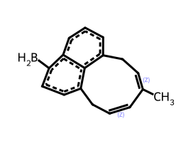 Bc1ccc2c3c(cccc13)C/C=C(C)\C=C/C2